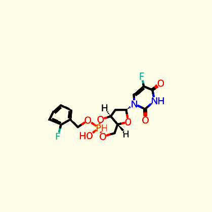 O=c1[nH]c(=O)n([C@H]2C[C@@H]3O[PH](O)(OCc4ccccc4F)OC[C@H]3O2)cc1F